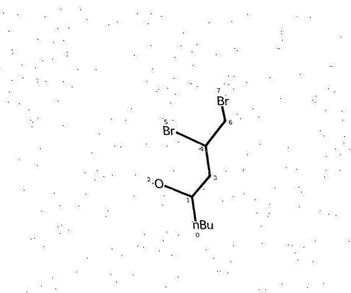 CCCCC([O])CC(Br)CBr